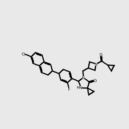 O=C(C1CC1)N1CC(CN2C(=O)C3(CC3)NC2C2=CCC(C3C=c4ccc(Cl)cc4=CC3)C=C2F)C1